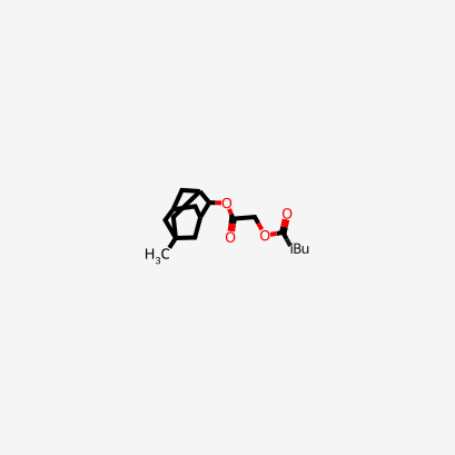 CCC(C)C(=O)OCC(=O)OC1C2CC3CC1CC(C)(C3)C2